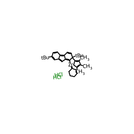 CC1=C(C)C(C)=C(C2(C(C)(C)C)C=CC3=c4ccc(C(C)(C)C)cc4=CC3=[C]2[Zr]=[C]2CCCCC2)C1.Cl.Cl